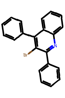 Brc1c(-c2ccccc2)nc2ccccc2c1-c1ccccc1